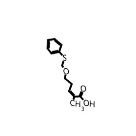 CC(=CCCOCSc1ccccc1)C(=O)O